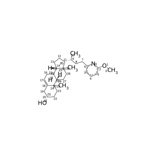 COc1cccc(CCC(C)[C@H]2CC[C@H]3[C@@H]4CC=C5C[C@@H](O)CC[C@]5(C)[C@H]4CC[C@]23C)n1